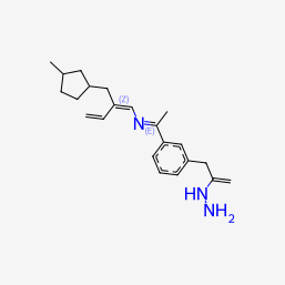 C=C/C(=C\N=C(/C)c1cccc(CC(=C)NN)c1)CC1CCC(C)C1